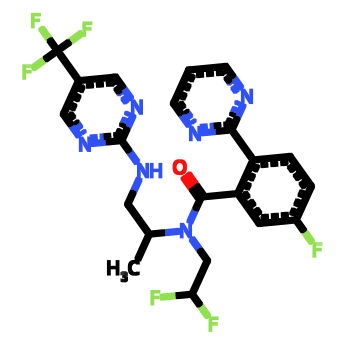 CC(CNc1ncc(C(F)(F)F)cn1)N(CC(F)F)C(=O)c1cc(F)ccc1-c1ncccn1